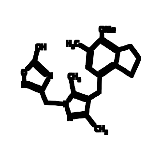 COc1c(C)cc(Cc2c(C)nn(Cc3noc(O)n3)c2C)c2c1CCC2